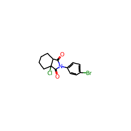 O=C1C2CCCCC2(Cl)C(=O)N1c1ccc(Br)cc1